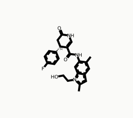 Cc1cc2cc(C)n(CCO)c2cc1NC(=O)C1=CNC(=O)C[C@H]1c1ccc(F)cc1